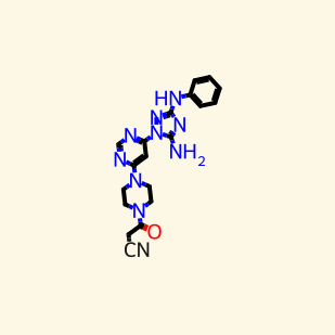 N#CCC(=O)N1CCN(c2cc(-n3nc(Nc4ccccc4)nc3N)ncn2)CC1